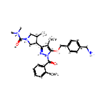 COc1ccccc1C(=O)n1nc(C2CN(C(=O)N(C)C)CC2C(F)(F)F)c(OC)c1OCc1ccc(CN)cc1